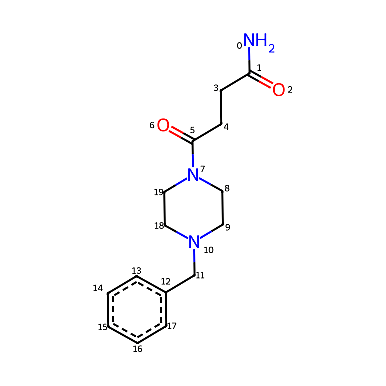 NC(=O)CCC(=O)N1CCN(Cc2ccccc2)CC1